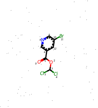 O=C(OC(Cl)Cl)c1cncc(Br)c1